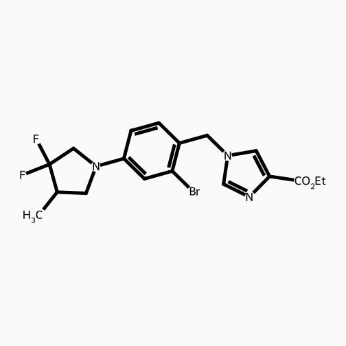 CCOC(=O)c1cn(Cc2ccc(N3CC(C)C(F)(F)C3)cc2Br)cn1